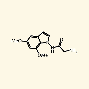 COc1cc(OC)c2c(ccn2NC(=O)CN)c1